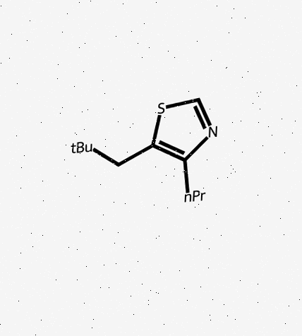 CCCc1ncsc1CC(C)(C)C